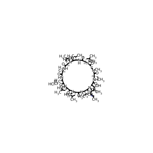 C/C=C/C[C@@H](C)[C@@H](O)[C@H]1C(=O)N[C@@H](CC)C(=O)N(C)CC(=O)N(C)[C@@H](CC(C)C)C(=O)N[C@@H](C(C)C)C(=O)N(C)[C@@H](CC(C)C)C(=O)N[C@@H](C)C(=O)N[C@H](C)C(=O)N(C)[C@@H](CC(C)C)C(=O)N(C)[C@@H](CC(C)C)C(=O)N(C)[C@@H](C(C)C)C(=O)N1C.Cl.Cl